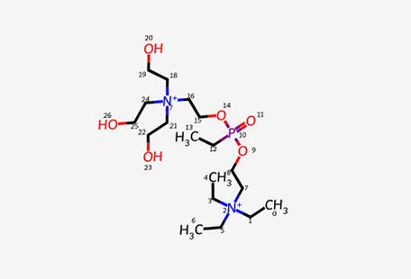 CC[N+](CC)(CC)CCOP(=O)(CC)OCC[N+](CCO)(CCO)CCO